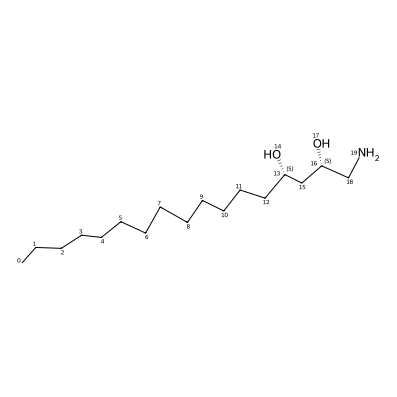 CCCCCCCCCCCCC[C@H](O)C[C@H](O)CN